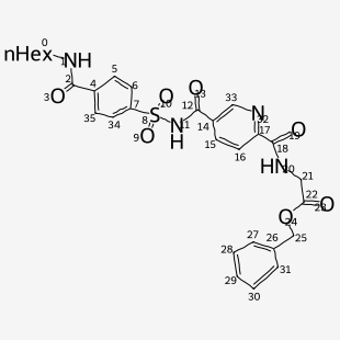 CCCCCCNC(=O)c1ccc(S(=O)(=O)NC(=O)c2ccc(C(=O)NCC(=O)OCc3ccccc3)nc2)cc1